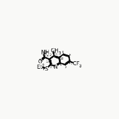 CCSc1nc2cc(C(F)(F)F)ccc2c(C)c1C(N)=O